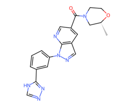 C[C@@H]1CN(C(=O)c2cnc3c(cnn3-c3cccc(-c4nnc[nH]4)c3)c2)CCO1